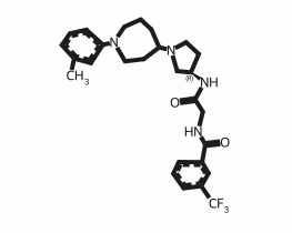 Cc1cccc(N2CCCC(N3CC[C@@H](NC(=O)CNC(=O)c4cccc(C(F)(F)F)c4)C3)CC2)c1